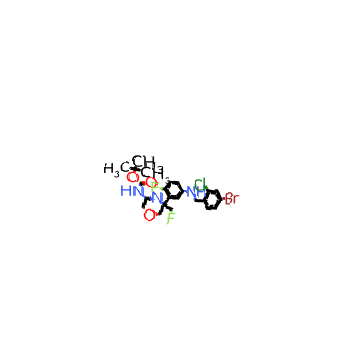 CC(C)(C)OC(=O)NC1=NC(CF)(c2cc(NCc3ccc(Br)cc3Cl)ccc2F)COC1